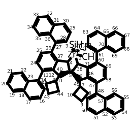 [CH3][Zr]([CH3])(=[SiH2])([CH]1C(CC2CCC2)=Cc2c(-c3cccc4ccccc34)ccc(-c3cccc4ccccc34)c21)[CH]1C(CC2CCC2)=Cc2c(-c3cccc4ccccc34)ccc(-c3cccc4ccccc34)c21